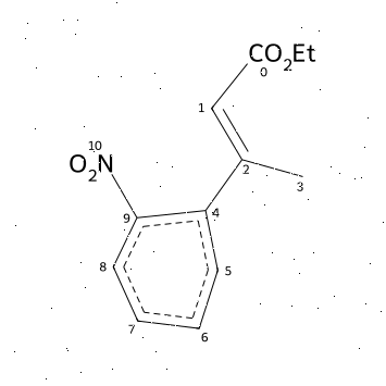 CCOC(=O)C=C(C)c1ccccc1[N+](=O)[O-]